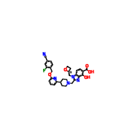 N#Cc1ccc(COc2cccc(C3CCN(Cc4nc5c(O)c(C(=O)O)ccc5n4C[C@@H]4CCO4)CC3)n2)c(F)c1